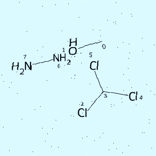 CO.ClC(Cl)Cl.NN